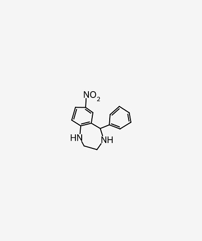 O=[N+]([O-])c1ccc2c(c1)C(c1ccccc1)NCCN2